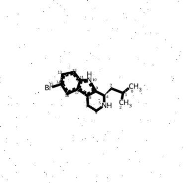 CC(C)C[C@H]1NCCc2c1[nH]c1ccc(Br)cc21